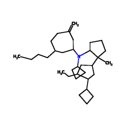 C=C1CCC(CCCC)CC(N(C2CCC2)C2CCCC2(C)C2CC(CC)C(C3CCC3)C2)C1